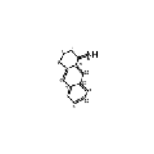 N=C1CCCc2cc3ccccc3cc21